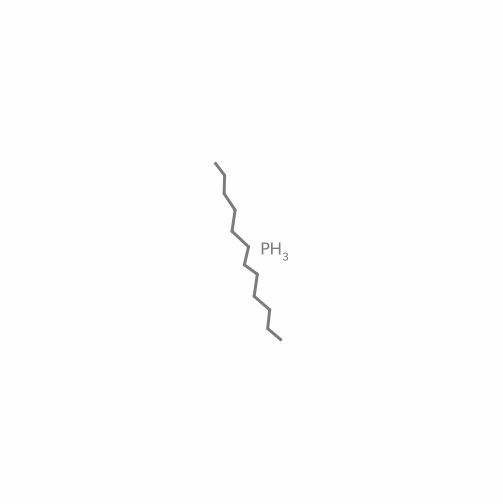 CCCCCCCCCCCC.P